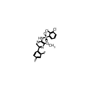 COc1nc(-c2ccc(F)cc2F)cnc1NS(=O)(=O)c1cccc(Cl)c1Cl